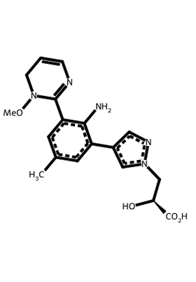 CON1CC=CN=C1c1cc(C)cc(-c2cnn(C[C@H](O)C(=O)O)c2)c1N